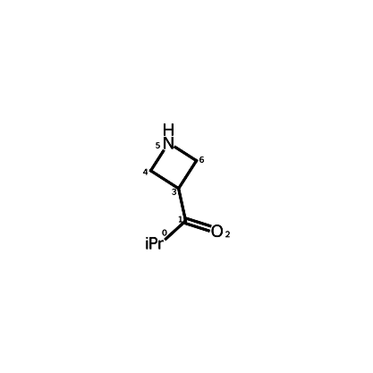 CC(C)C(=O)C1CNC1